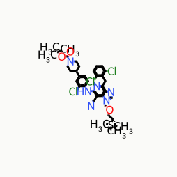 CC(C)(C)OC(=O)N1CCC(c2ccc(Nc3nc(Cc4c(Cl)cccc4Cl)c4ncn(COCC[Si](C)(C)C)c4c3C#N)c(Cl)c2)CC1